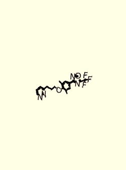 Cc1cc(-c2noc(C(F)(F)F)n2)cc(C)c1OCCCc1cccnn1